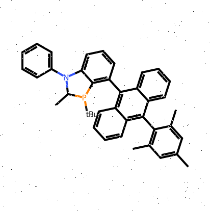 Cc1cc(C)c(-c2c3ccccc3c(-c3cccc4c3P(C(C)(C)C)C(C)N4c3ccccc3)c3ccccc23)c(C)c1